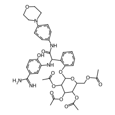 CC(=O)OCC1OC(Oc2ccccc2C(Nc2cc(C(=N)N)ccc2O)C(=O)Nc2ccc(N3CCOCC3)cc2)C(OC(C)=O)C(OC(C)=O)C1OC(C)=O